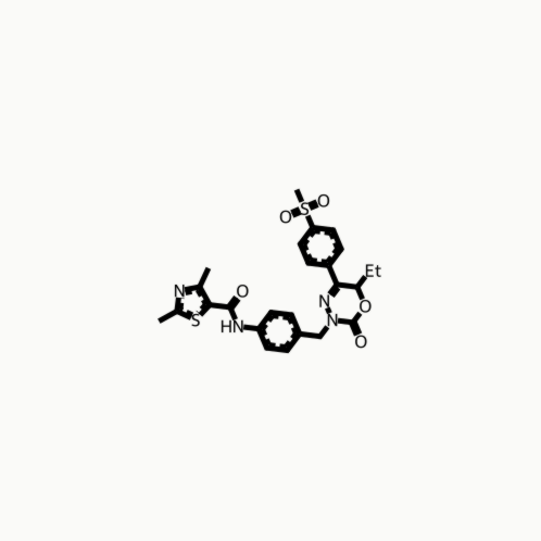 CCC1OC(=O)N(Cc2ccc(NC(=O)c3sc(C)nc3C)cc2)N=C1c1ccc(S(C)(=O)=O)cc1